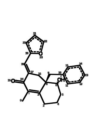 CC1=C2CCC[C@H](O)[C@@]2(Cc2ccccc2)CC(=Cc2ccco2)C1=O